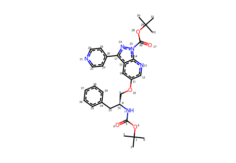 CC(C)(C)OC(=O)N[C@H](COc1cnc2c(c1)c(-c1ccncc1)nn2C(=O)OC(C)(C)C)Cc1ccccc1